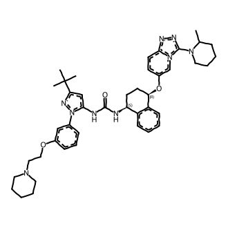 CC1CCCCN1c1nnc2ccc(O[C@@H]3CC[C@H](NC(=O)Nc4cc(C(C)(C)C)nn4-c4cccc(OCCN5CCCCC5)c4)c4ccccc43)cn12